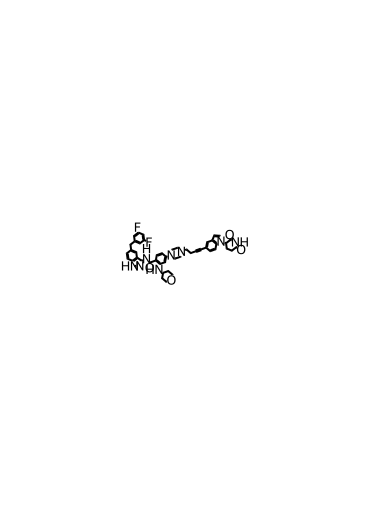 O=C1CCC(n2ccc3cc(C#CCCN4CCN(c5ccc(C(=O)Nc6n[nH]c7ccc(Cc8cc(F)cc(F)c8)cc67)c(NC6CCOCC6)c5)CC4)ccc32)C(=O)N1